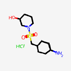 Cl.NC1CCC(CS(=O)(=O)N2CCCC(O)C2)CC1